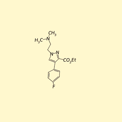 CCOC(=O)c1nn(CCN(C)C)cc1-c1ccc(F)cc1